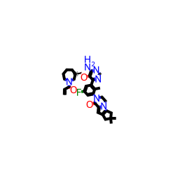 C=CC(=O)N1CCCC[C@@H](COc2c(N)ncnc2-c2cc(F)cc(N3CCn4c(cc5c4CC(C)(C)C5)C3=O)c2C)C1